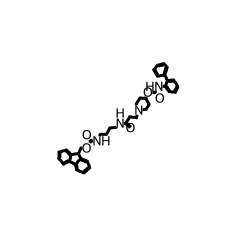 O=C(CCN1CCC(OC(=O)Nc2ccccc2-c2ccccc2)CC1)NCCCCNC(=O)OCC1c2ccccc2-c2ccccc21